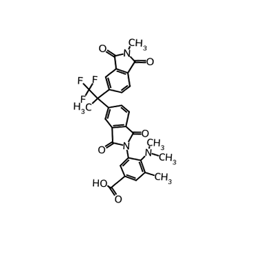 Cc1cc(C(=O)O)cc(N2C(=O)c3ccc(C(C)(c4ccc5c(c4)C(=O)N(C)C5=O)C(F)(F)F)cc3C2=O)c1N(C)C